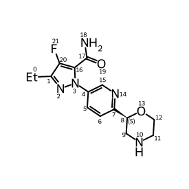 CCc1nn(-c2ccc([C@@H]3CNCCO3)nc2)c(C(N)=O)c1F